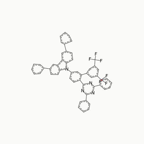 FC(F)(F)c1cc(-c2cc(-n3c4ccc(-c5ccccc5)cc4c4cc(-c5ccccc5)ccc43)ccc2-c2nc(-c3ccccc3)nc(-c3ccccc3)n2)cc(C(F)(F)F)c1